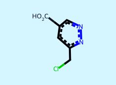 O=C(O)c1cnnc(CCl)c1